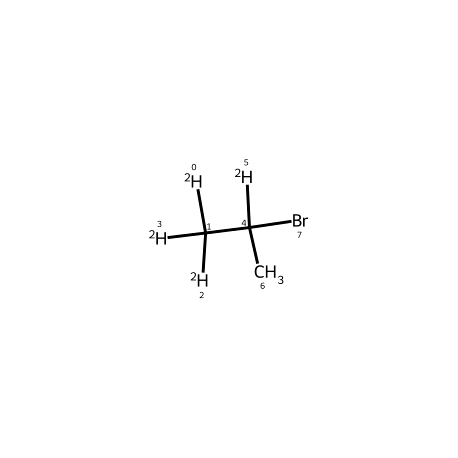 [2H]C([2H])([2H])C([2H])(C)Br